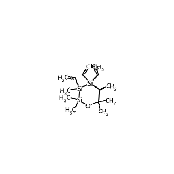 C=C[Si]1(C=C)C(C)C(C)(C)O[Si](C)(C)[Si]1(C)C=C